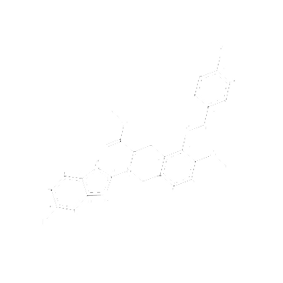 COC(=O)C1Cc2c(ccc(OC)c2OCc2ccc(F)cc2)CN1c1nc2ccc(F)cc2o1